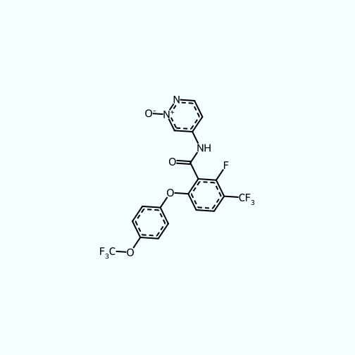 O=C(Nc1ccn[n+]([O-])c1)c1c(Oc2ccc(OC(F)(F)F)cc2)ccc(C(F)(F)F)c1F